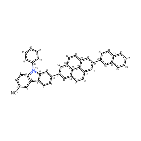 N#Cc1ccc2c(c1)c1ccc(-c3cc4ccc5cc(-c6ccc7ccccc7c6)cc6ccc(c3)c4c56)cc1n2-c1ccccc1